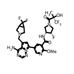 COc1ncc(-c2cc(CN3CC4C(C3)C4(F)F)c3c(N)ncnn23)cc1C(=O)N[C@@H]1CN(C(=O)[C@@](C)(O)C(F)(F)F)C[C@@H]1F